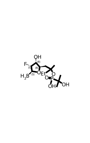 B[C@@H]1O[C@H](CC(C)(CC)OP(=O)(O)C(C)(C)O)[C@@H](O)[C@H]1F